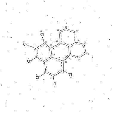 Clc1c(Cl)c2c(Cl)c(Cl)c(Cl)c3c4cccc5cccc(c(c1Cl)c23)c54